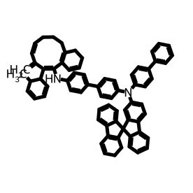 C=C1/C=C\CCCC2=C(C=CCC2)/C(Nc2ccc(-c3ccc(N(c4ccc(-c5ccccc5)cc4)c4ccc5c(c4)C4(C6=C(C=CCC6)c6ccccc64)c4ccccc4-5)cc3)cc2)=C\1C1C=CC=CC1C